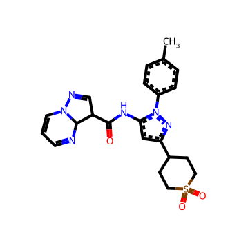 Cc1ccc(-n2nc(C3CCS(=O)(=O)CC3)cc2NC(=O)C2C=NN3C=CC=NC23)cc1